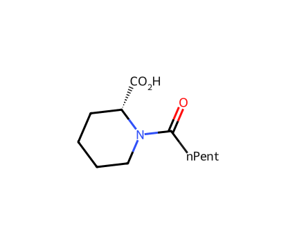 CCCCCC(=O)N1CCCC[C@@H]1C(=O)O